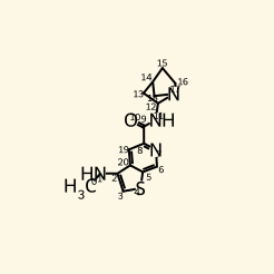 CNc1csc2cnc(C(=O)NC3CC4CCN3C4)cc12